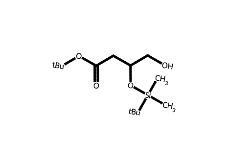 CC(C)(C)OC(=O)CC(CO)O[Si](C)(C)C(C)(C)C